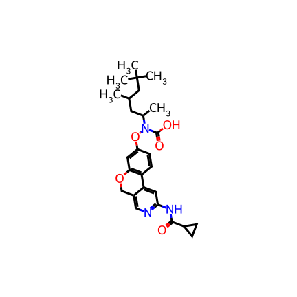 CC(CC(C)N(Oc1ccc2c(c1)OCc1cnc(NC(=O)C3CC3)cc1-2)C(=O)O)CC(C)(C)C